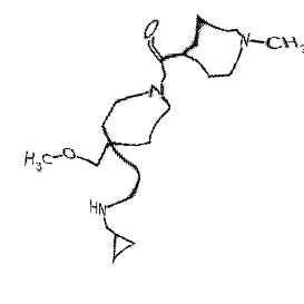 COCC1(CNC2CC2)CCN(C(=O)C2CCN(C)CC2)CC1